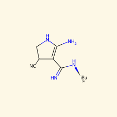 CC[C@H](C)NC(=N)C1=C(N)NCC1C#N